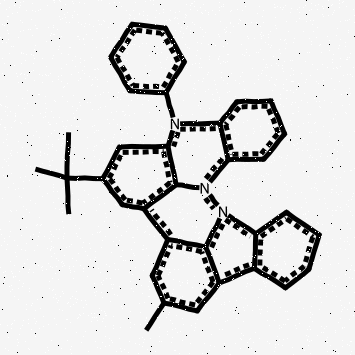 Cc1cc2c3cc(C(C)(C)C)cc4c3-n(c3ccccc3n4-c3ccccc3)n3c4ccccc4c(c1)c23